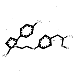 CCO[C@@H](Cc1ccc(OCCn2c(C)ccc2-c2ccc(C)cc2)cc1)C(=O)O